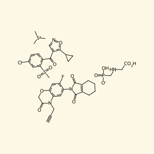 C#CCN1C(=O)COc2cc(F)c(N3C(=O)C4=C(CCCC4)C3=O)cc21.CS(=O)(=O)c1cc(Cl)ccc1C(=O)c1cnoc1C1CC1.C[S+](C)C.O=C(O)CNCP(=O)([O-])O